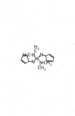 C[N](C)[W](=[N]C1C=CC=C1)(=[N]C1C=CC=C1)[N](C)C